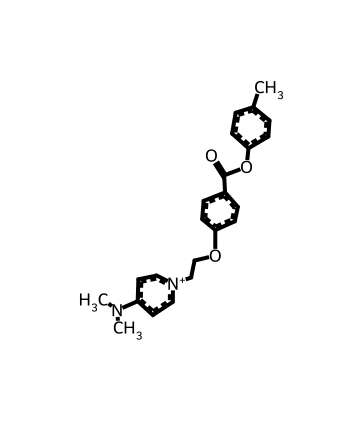 Cc1ccc(OC(=O)c2ccc(OCC[n+]3ccc(N(C)C)cc3)cc2)cc1